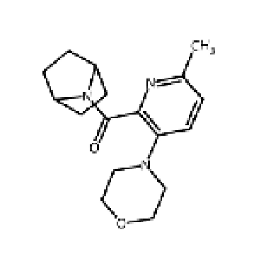 Cc1ccc(N2CCOCC2)c(C(=O)N2C3CCC2CC3)n1